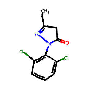 CC1=NN(c2c(Cl)cccc2Cl)C(=O)C1